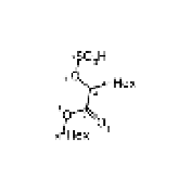 CCCCCCOC(=O)C(CCCCCC)OS(=O)(=O)O